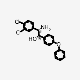 N[C@@H](c1ccc(Cl)c(Cl)c1)[C@H](O)c1ccc(Oc2ccccc2)cc1